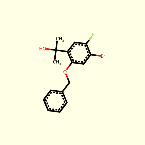 CC(C)(O)c1cc(F)c(Br)cc1OCc1ccccc1